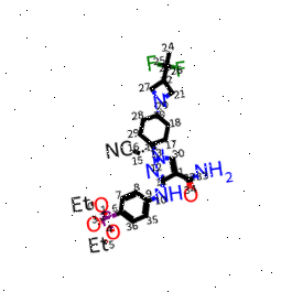 CCOP(=O)(OCC)c1ccc(Nc2nn([C@]3(CC#N)CC[C@@H](N4CC(C(C)(F)F)C4)CC3)cc2C(N)=O)cc1